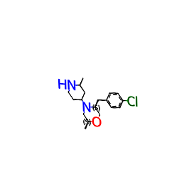 CC1CC(N2C[C@H](C)OC[C@@H]2Cc2ccc(Cl)cc2)CCN1